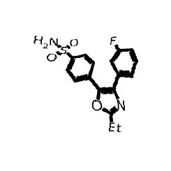 CCc1nc(-c2cccc(F)c2)c(-c2ccc(S(N)(=O)=O)cc2)o1